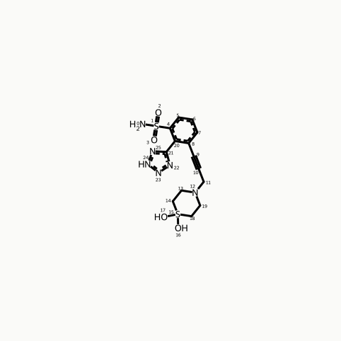 NS(=O)(=O)c1cccc(C#CCN2CCS(O)(O)CC2)c1-c1nn[nH]n1